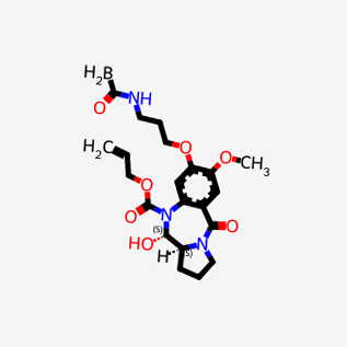 BC(=O)NCCCOc1cc2c(cc1OC)C(=O)N1CCC[C@H]1[C@H](O)N2C(=O)OCC=C